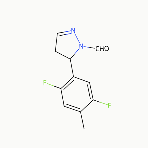 Cc1cc(F)c(C2CC=NN2C=O)cc1F